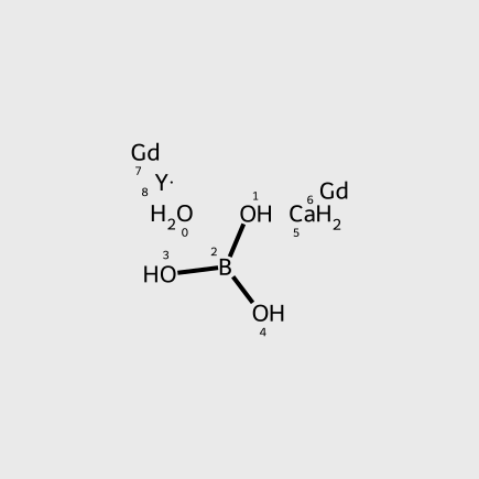 O.OB(O)O.[CaH2].[Gd].[Gd].[Y]